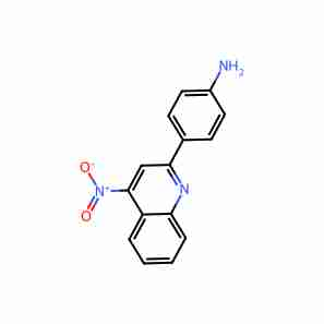 Nc1ccc(-c2cc([N+](=O)[O-])c3ccccc3n2)cc1